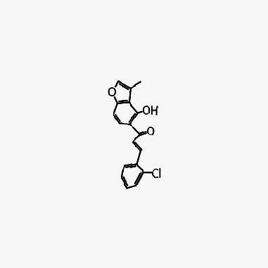 Cc1coc2ccc(C(=O)/C=C/c3ccccc3Cl)c(O)c12